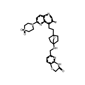 O=C1COc2ccc(CNC34CCC(CCc5c(F)cnc6ccc(N7CCS(=O)(=O)CC7)nc56)(CC3)OC4)nc2N1